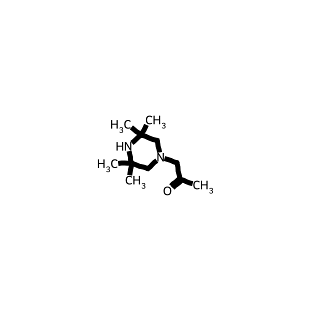 CC(=O)CN1CC(C)(C)NC(C)(C)C1